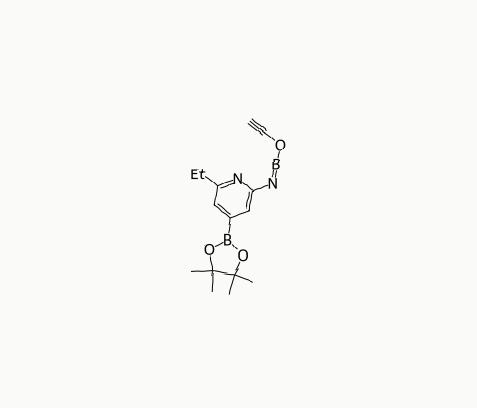 C#CO/B=N/c1cc(B2OC(C)(C)C(C)(C)O2)cc(CC)n1